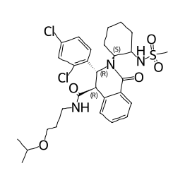 CC(C)OCCCNC(=O)[C@@H]1c2ccccc2C(=O)N([C@H]2CCCCC2NS(C)(=O)=O)[C@H]1c1ccc(Cl)cc1Cl